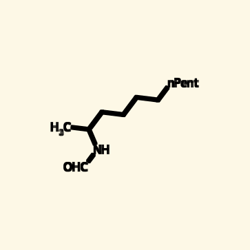 CCCCCCCCCC(C)NC=O